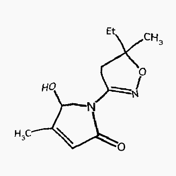 CCC1(C)CC(N2C(=O)C=C(C)C2O)=NO1